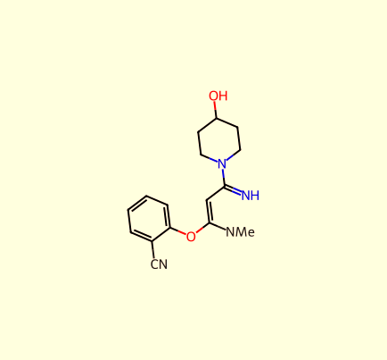 CN/C(=C\C(=N)N1CCC(O)CC1)Oc1ccccc1C#N